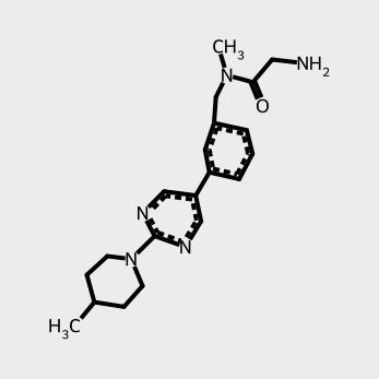 CC1CCN(c2ncc(-c3cccc(CN(C)C(=O)CN)c3)cn2)CC1